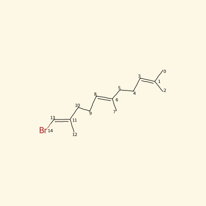 CC(C)=CCC/C(C)=C/CC/C(C)=C/Br